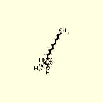 CCCCCCCCCCCC(=O)N[C@@H](CC)C(=O)O